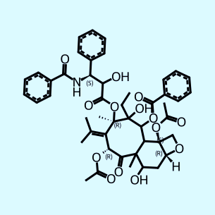 CCC1(O)C(OC(=O)c2ccccc2)C2C(C)(C(=O)[C@H](OC(C)=O)C(=C(C)C)[C@@]1(C)OC(=O)C(O)[C@@H](NC(=O)c1ccccc1)c1ccccc1)C(O)C[C@H]1OC[C@@]21OC(C)=O